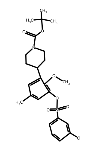 COc1c(OS(=O)(=O)c2cccc(Cl)c2)cc(C)cc1C1CCN(C(=O)OC(C)(C)C)CC1